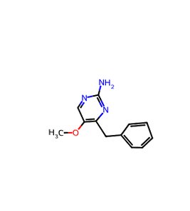 COc1cnc(N)nc1Cc1ccccc1